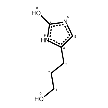 OCCCc1cnc(O)[nH]1